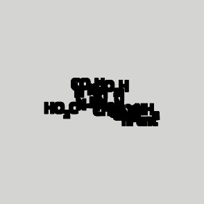 CCCCCNC(=O)[C@@H](CCCN)NC(=O)CCNC(C=O)N1CCN(CC(=O)O)CCN(CC(=O)O)CCN(CC(=O)O)CC1